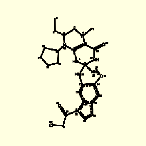 CCC1CN(C)C2=C(N[C@@](N)(Nc3cc4c(ccn4C(=O)CCl)cc3OC)NC2=O)N1C1CCCC1